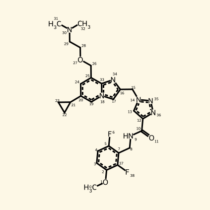 COc1ccc(F)c(CNC(=O)c2cn(Cc3cn4cc(C5CC5)cc(COCCN(C)C)c4n3)nn2)c1F